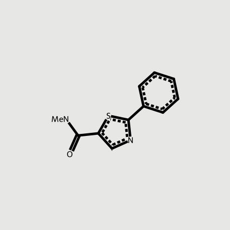 CNC(=O)c1[c]nc(-c2ccccc2)s1